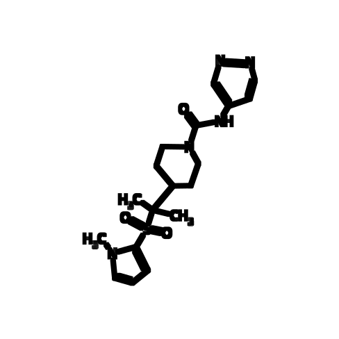 Cn1cccc1S(=O)(=O)C(C)(C)C1CCN(C(=O)Nc2ccnnc2)CC1